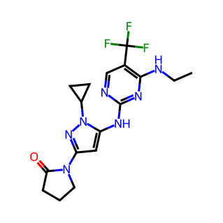 CCNc1nc(Nc2cc(N3CCCC3=O)nn2C2CC2)ncc1C(F)(F)F